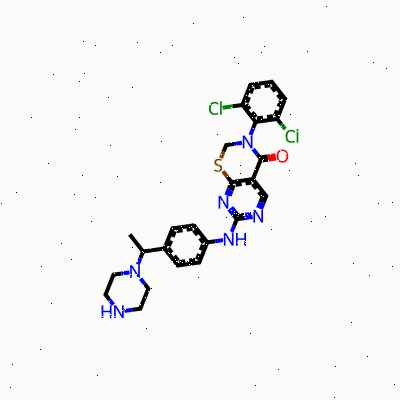 CC(c1ccc(Nc2ncc3c(n2)SCN(c2c(Cl)cccc2Cl)C3=O)cc1)N1CCNCC1